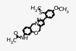 COc1ccc(-c2cc3n(n2)Cc2ccc(NC(C)=O)cc2OC3)c(SC)c1